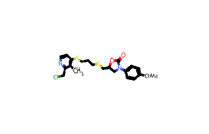 COc1ccc(N2CC(CSCCCSc3ccnc(CCl)c3C)OC2=O)cc1